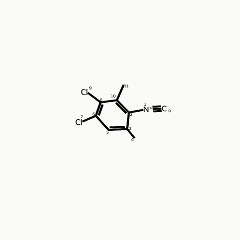 [C-]#[N+]c1c(C)cc(Cl)c(Cl)c1C